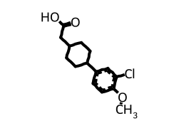 COc1ccc(C2CCC(CC(=O)O)CC2)cc1Cl